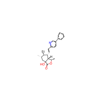 CC[C@H]1[C@H](/C=C/c2ccc(-c3ccccc3)cn2)[C@@H]2[C@@H](C)OC(=O)[C@]2(O)C[C@@H]1C